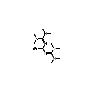 CCCC(N=C(N(C)C)N(C)C)N=C(N(C)C)N(C)C